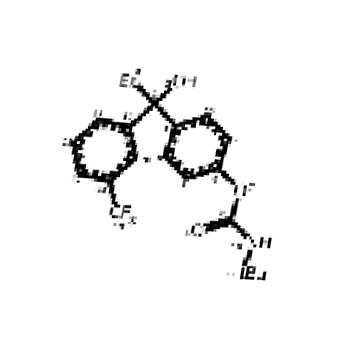 CCC(O)(c1ccc(OC(=O)NC(C)(C)C)cc1)c1cccc(C(F)(F)F)c1